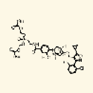 Cc1cc(C(=O)NCCP(=O)(OCOC(=O)C(C)(C)C)OCOC(=O)C(C)(C)C)ccc1N1C[C@@H]2C[C@H]1C[C@H]2OCc1c(-c2c(Cl)cccc2Cl)noc1C1CC1